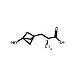 N[C@@H](CC12CC(O)(C1)C2)C(=O)O